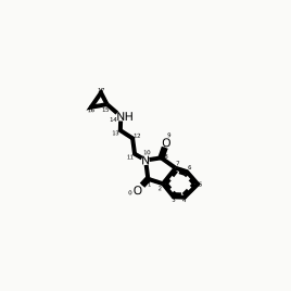 O=C1c2ccccc2C(=O)N1CCCNC1CC1